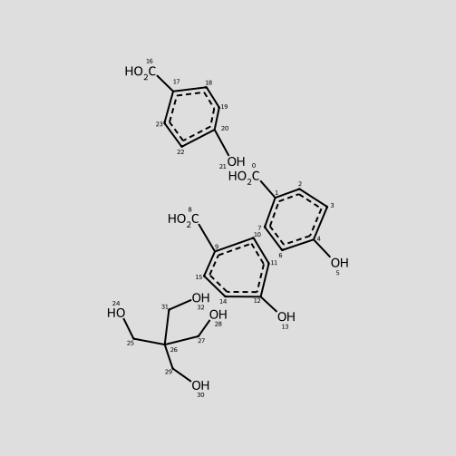 O=C(O)c1ccc(O)cc1.O=C(O)c1ccc(O)cc1.O=C(O)c1ccc(O)cc1.OCC(CO)(CO)CO